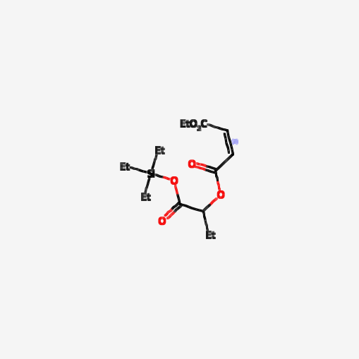 CCOC(=O)/C=C\C(=O)OC(CC)C(=O)O[Si](CC)(CC)CC